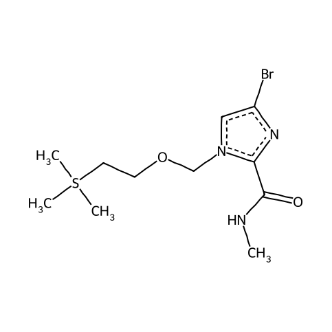 CNC(=O)c1nc(Br)cn1COCCS(C)(C)C